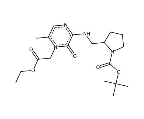 CCOC(=O)Cn1c(C)cnc(NCC2CCCN2C(=O)OC(C)(C)C)c1=O